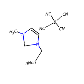 CCCCCCCCCCN1C=CN(C)C1.N#C[B-](C#N)(C#N)C#N